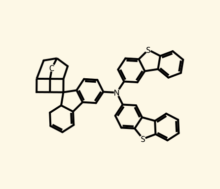 C1=CCC2C(=C1)c1cc(N(c3ccc4sc5ccccc5c4c3)c3ccc4sc5ccccc5c4c3)ccc1C21C2CC3CC4CC1C42C3